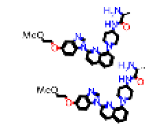 COCCOc1ccc2c(c1)ncn2-c1ccc2cccc(N3CCC(NC(=O)[C@@H](C)N)CC3)c2n1.COCCOc1ccc2c(c1)ncn2-c1ccc2cccc(N3CCC(NC(=O)[C@H](C)N)CC3)c2n1